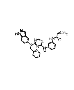 C=CC(=O)Nc1cccc(Nc2ncnc(N(Cc3ccccn3)c3ccc4[nH]ncc4c3)n2)c1